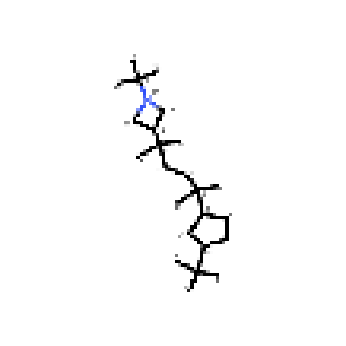 CC(C)(C)C1CCC(C(C)(C)CCC(C)(C)C2CN(C(C)(C)C)C2)C1